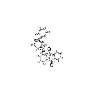 O=C1c2ccccc2C(=O)c2c1cccc2C1c2ccc(-c3ccccc3)c3c2C31